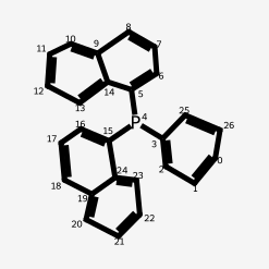 c1ccc(P(c2cccc3ccccc23)c2cccc3ccccc23)cc1